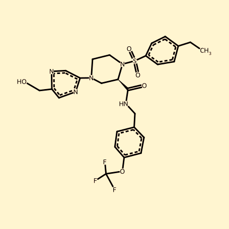 CCc1ccc(S(=O)(=O)N2CCN(c3cnc(CO)cn3)C[C@@H]2C(=O)NCc2ccc(OC(F)(F)F)cc2)cc1